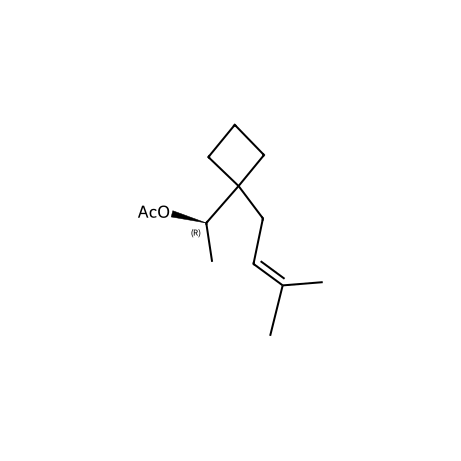 CC(=O)O[C@H](C)C1(CC=C(C)C)CCC1